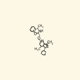 Cc1cc(OCC(=O)NC(C)c2ccccn2)nc2c1c(-c1ccccc1)nn2C